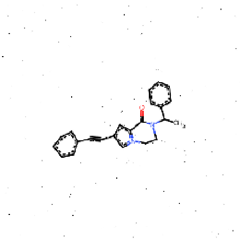 CC(c1ccccc1)N1CCn2cc(C#Cc3ccccc3)cc2C1=O